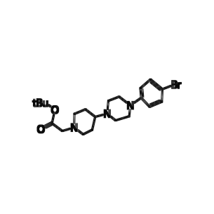 CC(C)(C)OC(=O)CN1CCC(N2CCN(c3ccc(Br)cc3)CC2)CC1